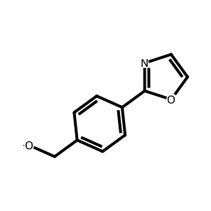 [O]Cc1ccc(-c2ncco2)cc1